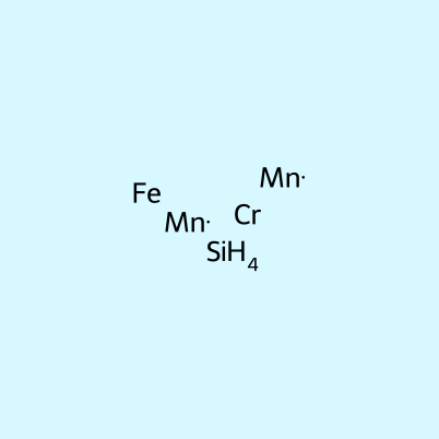 [Cr].[Fe].[Mn].[Mn].[SiH4]